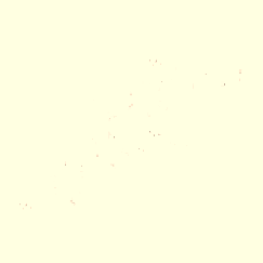 COc1ccc(C2=CN3C(=O)c4cc(OC)c(OCCCBr)cc4N(C(=O)O)CC3C2)cc1